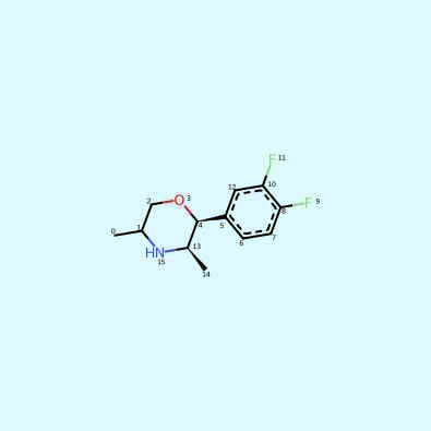 CC1CO[C@@H](c2ccc(F)c(F)c2)[C@@H](C)N1